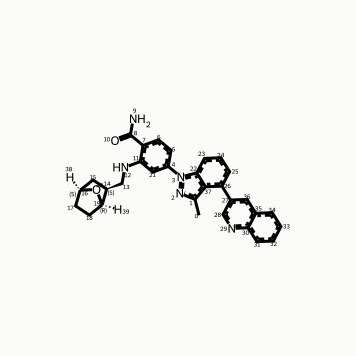 Cc1nn(-c2ccc(C(N)=O)c(NC[C@@H]3C[C@@H]4CC[C@H]3O4)c2)c2cccc(-c3cnc4ccccc4c3)c12